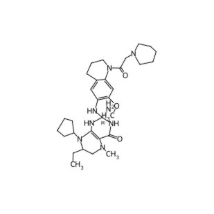 CCC1CN(C)C2=C(N[C@@](N)(Nc3cc4c(cc3OC)N(C(=O)CN3CCCCC3)CCC4)NC2=O)N1C1CCCC1